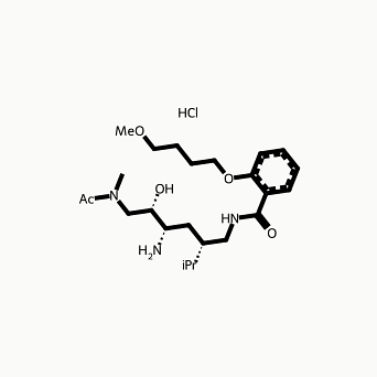 COCCCCOc1ccccc1C(=O)NC[C@@H](C[C@H](N)[C@@H](O)CN(C)C(C)=O)C(C)C.Cl